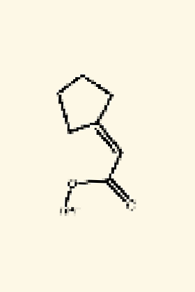 CCCOC(=O)C=C1CCCC1